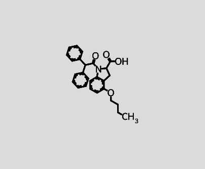 CCCCOc1cccc2c1CC(C(=O)O)N2C(=O)C(c1ccccc1)c1ccccc1